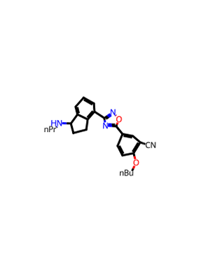 CCCCOc1ccc(-c2nc(-c3cccc4c3CCC4NCCC)no2)cc1C#N